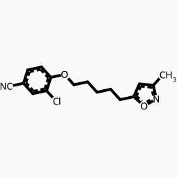 Cc1cc(CCCCCOc2ccc(C#N)cc2Cl)on1